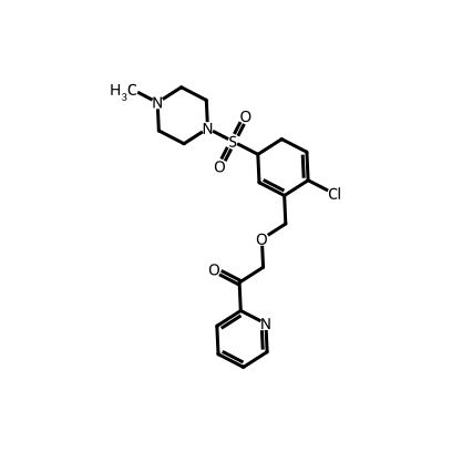 CN1CCN(S(=O)(=O)C2C=C(COCC(=O)c3ccccn3)C(Cl)=CC2)CC1